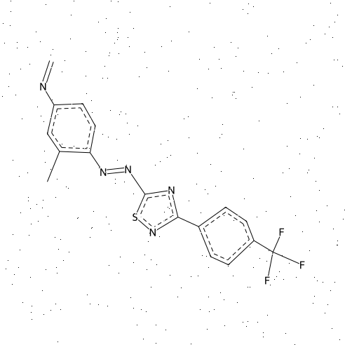 C=Nc1ccc(/N=N/c2nc(-c3ccc(C(F)(F)F)cc3)ns2)c(C)c1